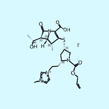 C=CCOC(=O)N1C[C@@H](SC2=C(C(=O)O)N3C(=O)[C@H]([C@@H](C)O)[C@H]3[C@H]2C)C[C@H]1CC[n+]1ccn(C)c1.[I-]